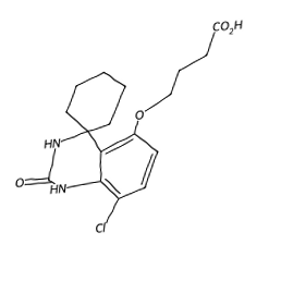 O=C(O)CCCOc1ccc(Cl)c2c1C1(CCCCC1)NC(=O)N2